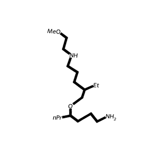 CCCC(CCCN)OCC(CC)CCCNCCOC